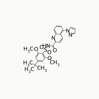 COc1cc(C(C)(C)C)cc(OC)c1S(=O)(=O)NC(=O)c1ccc2c(-n3cccn3)cccc2n1